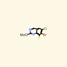 COc1ncc2cc(Cl)c(Br)c(F)c2n1